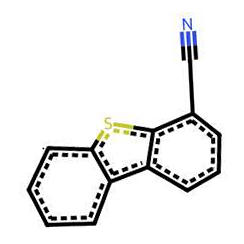 N#Cc1cccc2c1sc1[c]cccc12